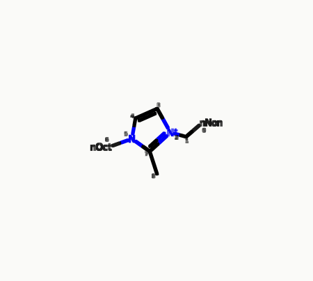 CCCCCCCCCC[n+]1ccn(CCCCCCCC)c1C